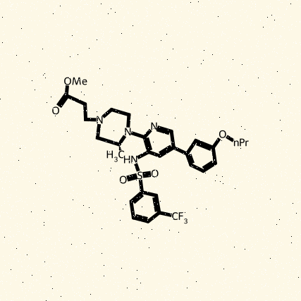 CCCOc1cccc(-c2cnc(N3CCN(CCC(=O)OC)C[C@H]3C)c(NS(=O)(=O)c3cccc(C(F)(F)F)c3)c2)c1